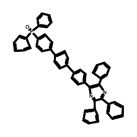 O=P(c1ccccc1)(c1ccccc1)c1ccc(-c2ccc(-c3ccc(-c4nc(-c5ccccc5)c(-c5ccccc5)nc4-c4ccccc4)cc3)cc2)cc1